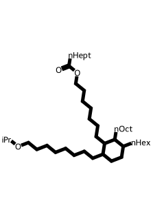 CCCCCCCCC1C(CCCCCC)CCC(CCCCCCCCOC(C)C)C1CCCCCCCOC(=O)CCCCCCC